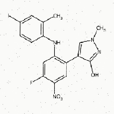 Cc1cc(I)ccc1Nc1cc(F)c([N+](=O)[O-])cc1-c1cn(C)nc1O